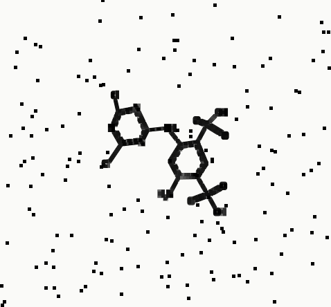 Nc1cc(Nc2nc(Cl)nc(Cl)n2)c(S(=O)(=O)O)cc1S(=O)(=O)O